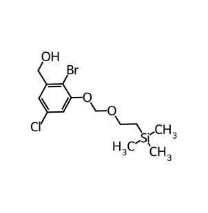 C[Si](C)(C)CCOCOc1cc(Cl)cc(CO)c1Br